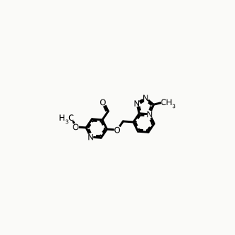 COc1cc(C=O)c(OCc2cccn3c(C)nnc23)cn1